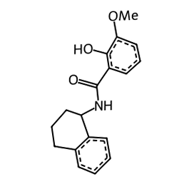 COc1cccc(C(=O)NC2CCCc3ccccc32)c1O